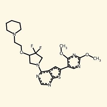 COc1ncc(-c2cc3c(N4CC(OCCN5CCCCC5)C(F)(F)C4)ncnc3s2)c(OC)n1